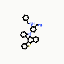 N=Cc1ccc(-n2c3ccccc3c3c4c5ccccc5sc4c4ccccc4c32)cc1NCc1ccccc1